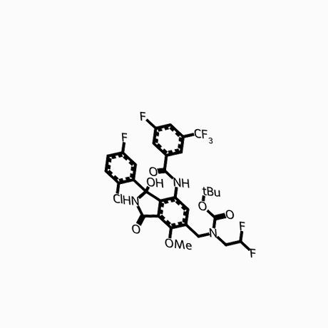 COc1c(CN(CC(F)F)C(=O)OC(C)(C)C)cc(NC(=O)c2cc(F)cc(C(F)(F)F)c2)c2c1C(=O)NC2(O)c1cc(F)ccc1Cl